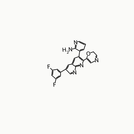 Nc1ncccc1-c1cc2cc(-c3cc(F)cc(F)c3)cnc2nc1C1=CN=CCO1